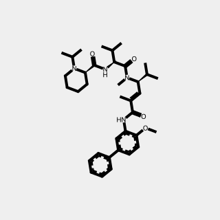 COc1ccc(-c2ccccc2)cc1NC(=O)/C(C)=C/[C@H](C(C)C)N(C)C(=O)[C@@H](NC(=O)[C@H]1CCCCN1C(C)C)C(C)C